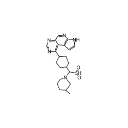 CC1CCCN(C(C2CCC(c3ncnc4cnc5[nH]ccc5c34)CC2)[SH](=O)=O)C1